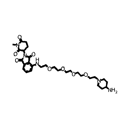 CN1C(=O)CCC(N2C(=O)c3cccc(NCCOCCOCCOCCOCCN4CCC(N)CC4)c3C2=O)C1=O